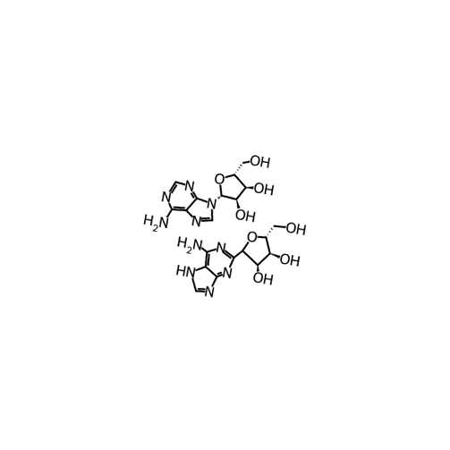 Nc1nc(C2O[C@H](CO)[C@@H](O)[C@H]2O)nc2nc[nH]c12.Nc1ncnc2c1ncn2[C@@H]1O[C@H](CO)[C@@H](O)[C@H]1O